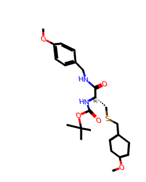 COc1ccc(CNC(=O)[C@H](CSCC2CCC(OC)CC2)NC(=O)OC(C)(C)C)cc1